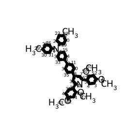 COc1ccc(-c2cc(-c3ccc(-c4ccc(N(c5ccc(C)cc5)c5ccc(C)cc5)cc4)cc3)cc(-c3ccc(OC)cc3OC)n2)c(OC)c1